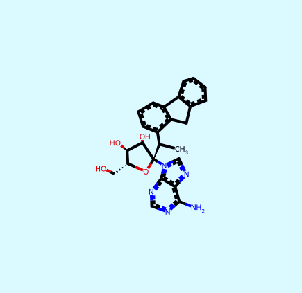 CC(c1cccc2c1Cc1ccccc1-2)[C@@]1(n2cnc3c(N)ncnc32)O[C@H](CO)[C@@H](O)[C@H]1O